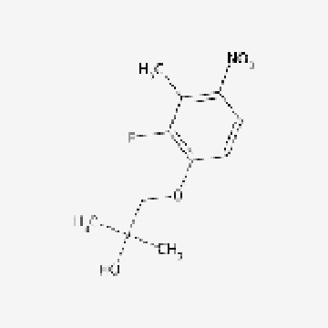 Cc1c([N+](=O)[O-])ccc(OCC(C)(C)O)c1F